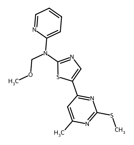 COCN(c1ccccn1)c1ncc(-c2cc(C)nc(SC)n2)s1